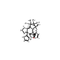 FC1(F)C2=C3C=CSC3(c3cccs3)C3(c4cccs4)SCCC3=C2C(F)(F)C1(F)F